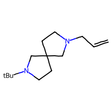 C=CCN1CCC2(CCN(C(C)(C)C)C2)C1